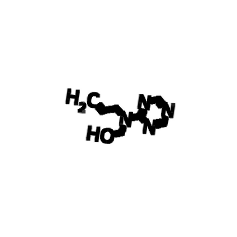 C=CCN(CO)c1ncncn1